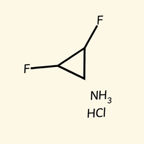 Cl.FC1CC1F.N